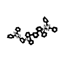 c1ccc(-c2nc(-c3ccccc3)nc(-c3cccc(-n4c5ccccc5c5c(-c6cccc(-c7cccc8c7c7ccccc7n8-c7nc(-c8ccccc8)nc(-c8ccccc8)n7)c6)cccc54)c3)n2)cc1